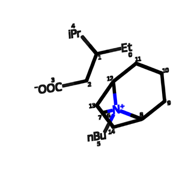 CCC(CC(=O)[O-])C(C)C.CCCC[N+]1(C)C2CCCC1CC2